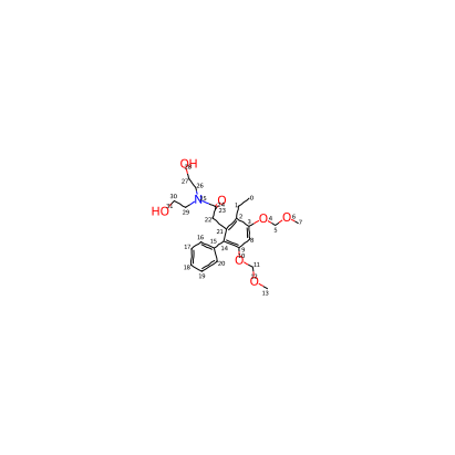 CCc1c(OCOC)cc(OCOC)c(-c2ccccc2)c1CC(=O)N(CCO)CCO